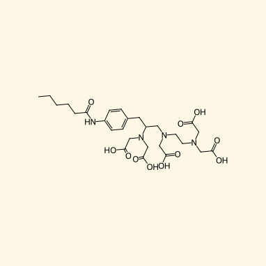 CCCCCC(=O)Nc1ccc(CC(CN(CCN(CC(=O)O)CC(=O)O)CC(=O)O)N(CC(=O)O)CC(=O)O)cc1